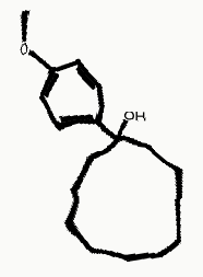 COc1ccc(C2(O)CCCCCCCCCC2)cc1